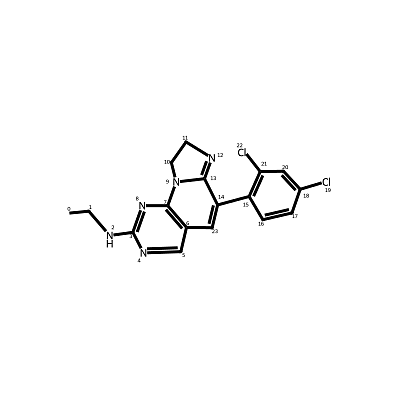 CCNc1ncc2c(n1)N1CCN=C1C(c1ccc(Cl)cc1Cl)=C2